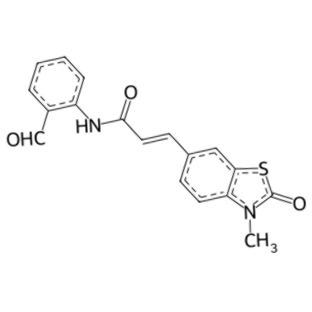 Cn1c(=O)sc2cc(/C=C/C(=O)Nc3ccccc3C=O)ccc21